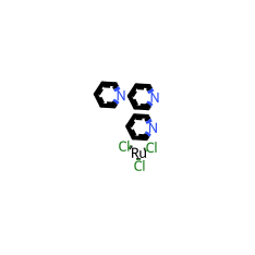 [Cl][Ru]([Cl])[Cl].c1ccncc1.c1ccncc1.c1ccncc1